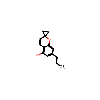 CCCc1cc(O)c2c(c1)OC1(C=C2)CC1